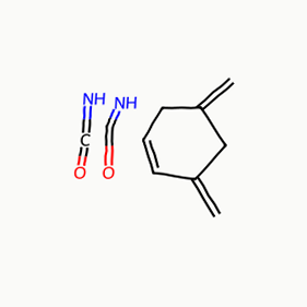 C=C1C=CCC(=C)C1.N=C=O.N=C=O